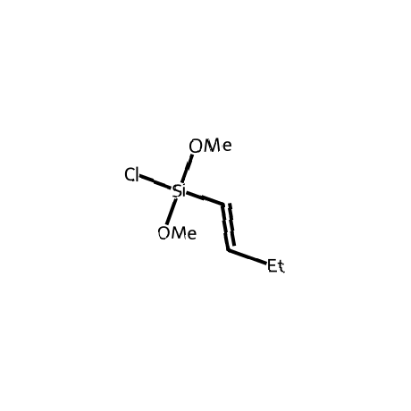 CCC=C[Si](Cl)(OC)OC